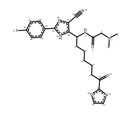 CN(C)CC(=O)NC(CCCCCC(=O)c1ncco1)c1[nH]c(-c2ccc(F)cc2)nc1C#N